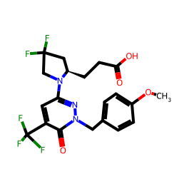 COc1ccc(Cn2nc(N3CC(F)(F)C[C@H]3CCC(=O)O)cc(C(F)(F)F)c2=O)cc1